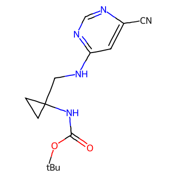 CC(C)(C)OC(=O)NC1(CNc2cc(C#N)ncn2)CC1